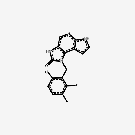 Cc1ccc(Cl)c(Cn2c(=O)[nH]c3cnc4[nH]ccc4c32)c1F